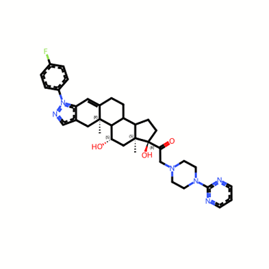 C[C@]12Cc3cnn(-c4ccc(F)cc4)c3C=C1CCC1C2[C@@H](O)C[C@@]2(C)C1CC[C@]2(O)C(=O)CN1CCN(c2ncccn2)CC1